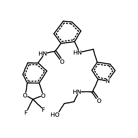 O=C(NCCO)c1cc(CNc2ccccc2C(=O)Nc2ccc3c(c2)OC(F)(F)O3)ccn1